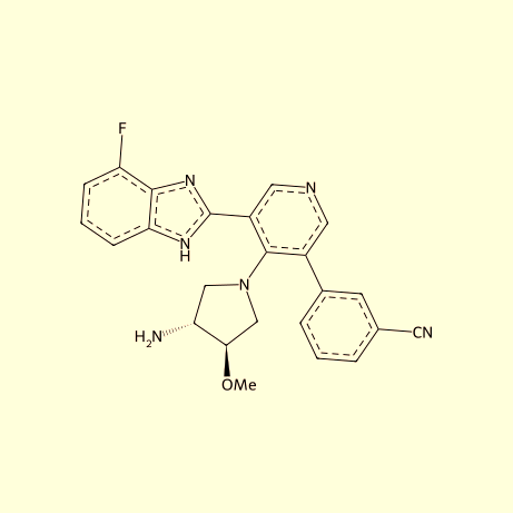 CO[C@@H]1CN(c2c(-c3cccc(C#N)c3)cncc2-c2nc3c(F)cccc3[nH]2)C[C@H]1N